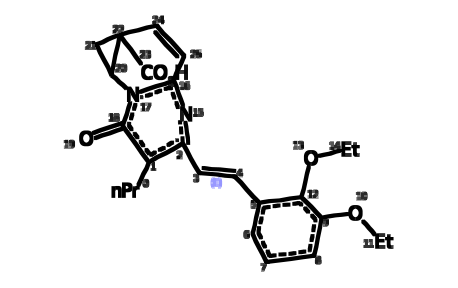 CCCc1c(/C=C/c2cccc(OCC)c2OCC)nc2n(c1=O)C1CC1(C(=O)O)C=C2